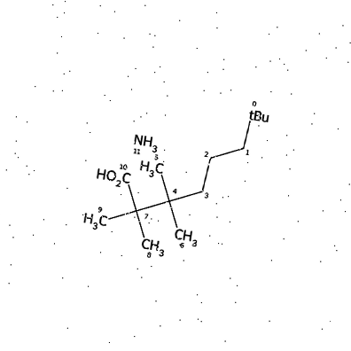 CC(C)(C)CCCC(C)(C)C(C)(C)C(=O)O.N